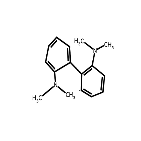 CN(C)c1ccc[c]c1-c1ccccc1N(C)C